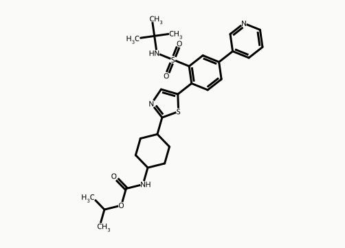 CC(C)OC(=O)NC1CCC(c2ncc(-c3ccc(-c4cccnc4)cc3S(=O)(=O)NC(C)(C)C)s2)CC1